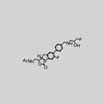 CC(=O)NCC1OC(=O)N2c3cc(F)c(-c4ccc(CNCC(O)CF)cc4)cc3C[C@@H]12